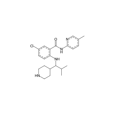 Cc1ccc(NC(=O)c2cc(Cl)ccc2NC(C(C)C)C2CCNCC2)nc1